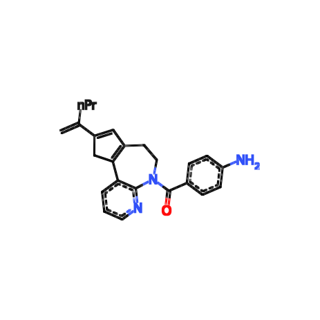 C=C(CCC)C1=CC2=C(C1)c1cccnc1N(C(=O)c1ccc(N)cc1)CC2